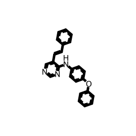 C(=Cc1cncnc1Nc1ccc(Oc2ccccc2)cc1)c1ccccc1